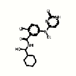 CCN(c1ccc(Cl)c(C(=O)NC(O)C2CCCCC2)c1)c1cc[nH]c(=O)n1